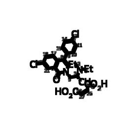 CCN(CC)C(C)Cn1cc(-c2ccc(Cl)cc2)c2ccc(Cl)cc2c1=O.O=C(O)/C=C\C(=O)O